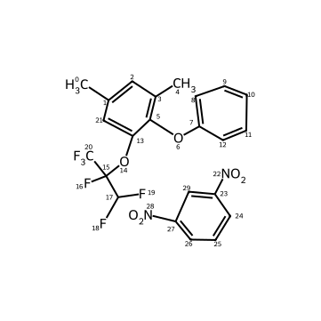 Cc1cc(C)c(Oc2ccccc2)c(OC(F)(C(F)F)C(F)(F)F)c1.O=[N+]([O-])c1cccc([N+](=O)[O-])c1